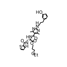 CCOCCCOC(=O)[C@H](CNC(=O)c1cccs1)NC(=O)c1c(C)nc(NCCCc2cccc(O)c2)nc1C